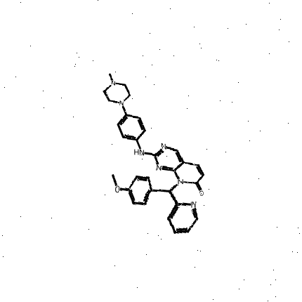 COc1ccc(C(c2ccccn2)n2c(=O)ccc3cnc(Nc4ccc(N5CCN(C)CC5)cc4)nc32)cc1